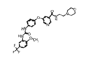 COc1ccc(C(F)(F)F)cc1NC(=O)Nc1ccc(Oc2cncc(C(=O)NCCN3CCOCC3)c2)cc1